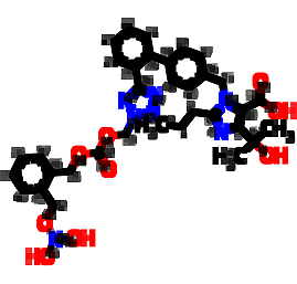 CCCc1nc(C(C)(C)O)c(C(=O)O)n1Cc1ccc(-c2ccccc2-c2nnn(COC(=O)OCc3ccccc3CON(O)O)n2)cc1